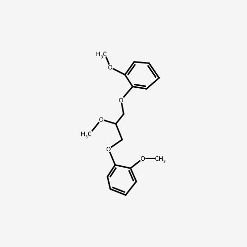 COc1ccccc1OCC(COc1ccccc1OC)OC